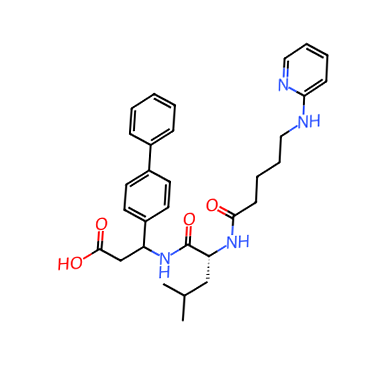 CC(C)C[C@@H](NC(=O)CCCCNc1ccccn1)C(=O)NC(CC(=O)O)c1ccc(-c2ccccc2)cc1